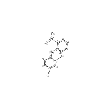 O=[N+]([O-])c1cccnc1Nc1ccc(F)cc1F